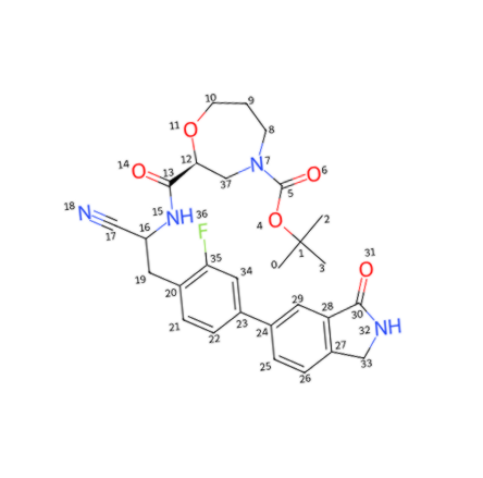 CC(C)(C)OC(=O)N1CCCO[C@H](C(=O)NC(C#N)Cc2ccc(-c3ccc4c(c3)C(=O)NC4)cc2F)C1